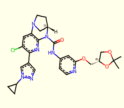 CC1(C)OC[C@@H](COc2cc(NC(=O)N3c4nc(-c5cnn(C6CC6)c5)c(Cl)cc4N4CC[C@H]3C4)ccn2)O1